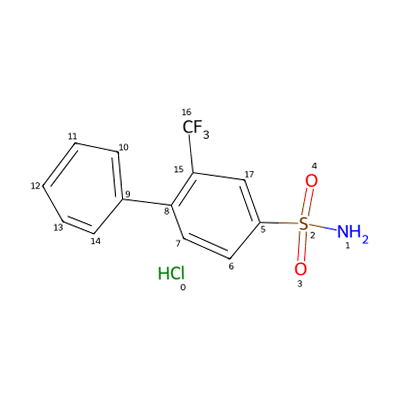 Cl.NS(=O)(=O)c1ccc(-c2ccccc2)c(C(F)(F)F)c1